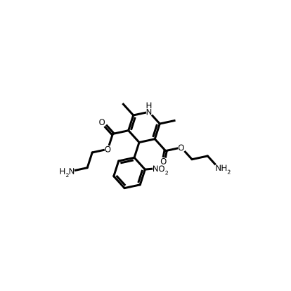 CC1=C(C(=O)OCCN)C(c2ccccc2[N+](=O)[O-])C(C(=O)OCCN)=C(C)N1